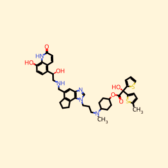 Cc1ccc([C@](O)(C(=O)OC2CCC(N(C)CCCn3cnc4cc(CNC[C@H](O)c5ccc(O)c6[nH]c(=O)ccc56)c5c(c43)CCC5)CC2)c2cccs2)s1